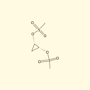 CS(=O)(=O)O[C@H]1C[C@H]1OS(C)(=O)=O